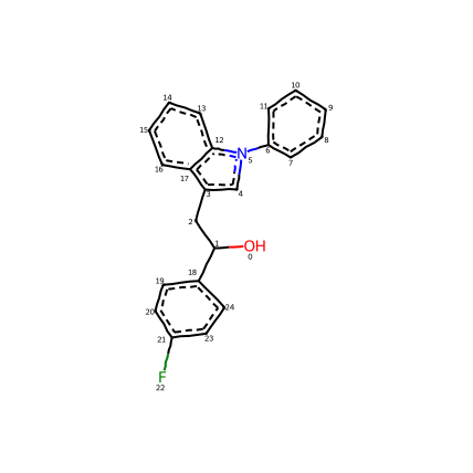 OC(Cc1cn(-c2ccccc2)c2ccccc12)c1ccc(F)cc1